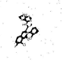 CC[C@@H](Nc1ncnc2[nH]cnc12)c1cc2ccc(F)c(Cl)c2c(=O)n1-c1ccccc1Cl